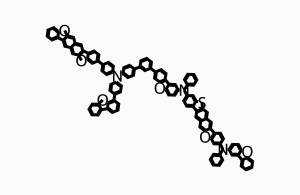 c1ccc(N(c2ccc3c(c2)oc2cc4cc5c(cc4cc23)sc2cc(N(c3ccccc3)c3ccc4oc6cc(-c7cccc(-c8ccc(N(c9ccc(-c%10ccc%11c(c%10)oc%10cc%12cc%13c(cc%12cc%10%11)oc%10ccccc%10%13)cc9)c9ccc(-c%10cccc%11c%10oc%10ccccc%10%11)cc9)cc8)c7)ccc6c4c3)ccc25)c2ccc3oc4ccccc4c3c2)cc1